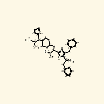 CCN(CC)C(CC1CCC(C(c2cccs2)N(C)C)CC1)c1nc(Cc2ccccc2)c(C(N)Cc2ccccc2)o1